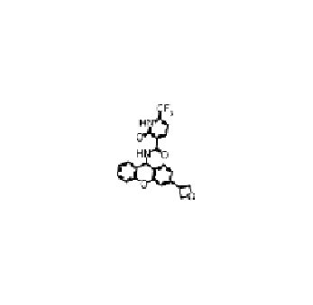 O=C(NC1c2ccccc2Oc2cc(C3COC3)ccc21)c1ccc(C(F)(F)F)[nH]c1=O